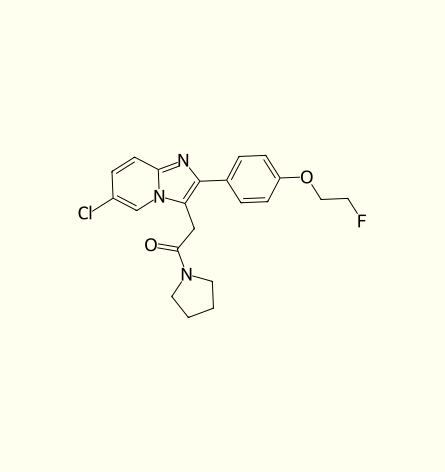 O=C(Cc1c(-c2ccc(OCCF)cc2)nc2ccc(Cl)cn12)N1CCCC1